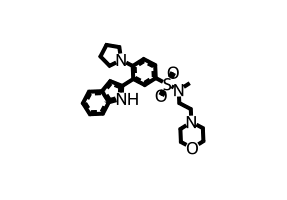 CN(CCN1CCOCC1)S(=O)(=O)c1ccc(N2CCCC2)c(-c2cc3ccccc3[nH]2)c1